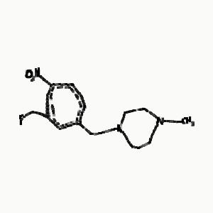 CN1CCN(Cc2ccc([N+](=O)[O-])c(F)c2)CC1